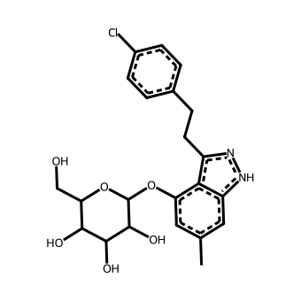 Cc1cc(OC2OC(CO)C(O)C(O)C2O)c2c(CCc3ccc(Cl)cc3)n[nH]c2c1